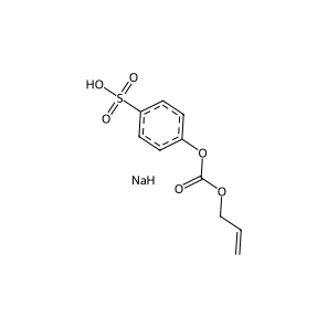 C=CCOC(=O)Oc1ccc(S(=O)(=O)O)cc1.[NaH]